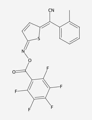 Cc1ccccc1/C(C#N)=C1C=C/C(=N/OC(=O)c2c(F)c(F)c(F)c(F)c2F)S/1